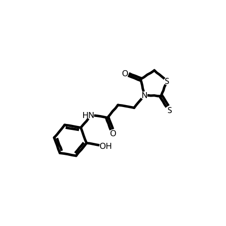 O=C(CCN1C(=O)CSC1=S)Nc1ccccc1O